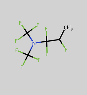 CC(F)C(F)(F)N(C(F)(F)F)C(F)(F)F